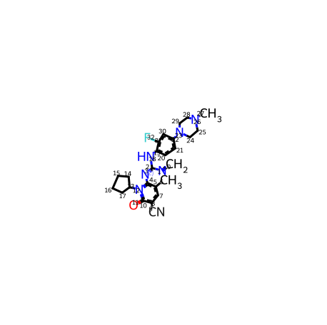 C=N/C(=N\c1c(C)cc(C#N)c(=O)n1C1CCCC1)Nc1ccc(N2CCN(C)CC2)cc1F